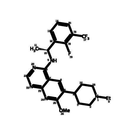 CCN1CCC(c2cc3c(N[C@H](C)c4cccc(C(F)(F)F)c4F)ncnc3nc2OC)CC1